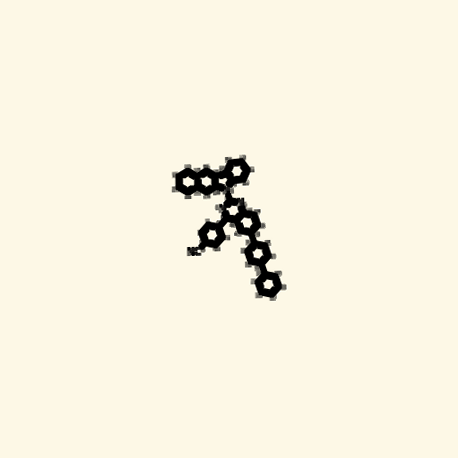 N#Cc1ccc(-c2nc(-n3c4ccccc4c4cc5ccccc5cc43)nc3ccc(-c4ccc(-c5ccccc5)cc4)cc23)cc1